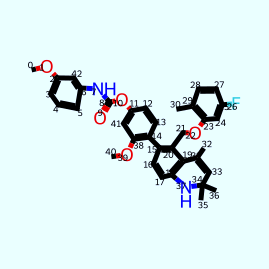 COc1cccc(NC(=O)Oc2ccc(-c3ccc4c(c3COc3cc(F)ccc3C)C(C)=CC(C)(C)N4)c(OC)c2)c1